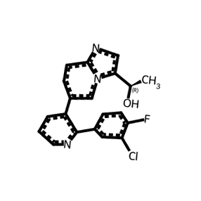 C[C@@H](O)c1cnc2ccc(-c3cccnc3-c3ccc(F)c(Cl)c3)cn12